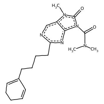 CN(C)C(=O)n1c(=O)n(C)c2cnc(CCCCC3=CCCC=C3)nc21